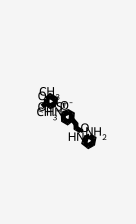 COc1ccc([S+]([O-])Nc2ccc(CCC(=O)Nc3ccccc3N)cc2)cc1OC